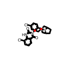 O=c1[nH]c2c(Cl)cccc2c(=O)n1CCCN1C2CCC1CN(c1ccc(Cl)cc1)C2